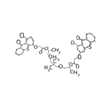 CC(COCC(C)(C)COCC(C)OC(=O)COc1ccc(Cl)c2c(=O)c3ccccc3sc12)OC(=O)COc1cc(Cl)c2c(=O)c3ccccc3sc2c1